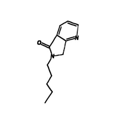 CCCCCN1Cc2ncccc2C1=O